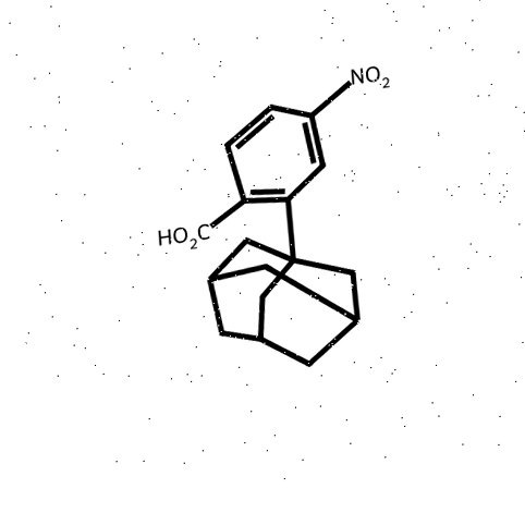 O=C(O)c1ccc([N+](=O)[O-])cc1C12CC3CC(CC(C3)C1)C2